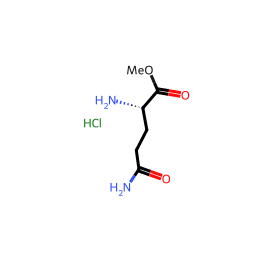 COC(=O)[C@@H](N)CCC(N)=O.Cl